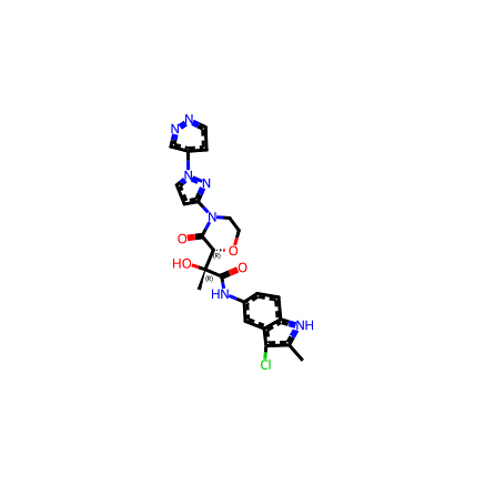 Cc1[nH]c2ccc(NC(=O)[C@](C)(O)[C@H]3OCCN(c4ccn(-c5ccnnc5)n4)C3=O)cc2c1Cl